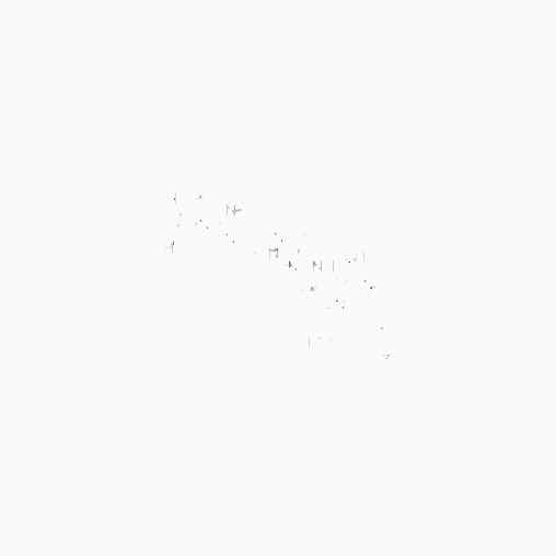 Cc1nc(N2C[C@H]3C[C@H]3C2=O)ncc1Cn1cc(NC(=O)c2nc(-c3c(C(F)F)ccc(Cl)c3F)cnc2C)nn1